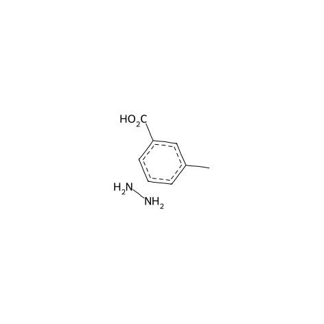 Cc1cccc(C(=O)O)c1.NN